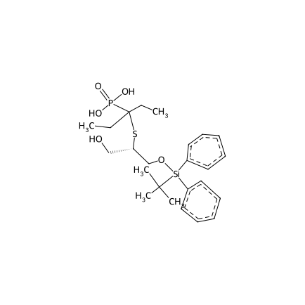 CCC(CC)(S[C@@H](CO)CO[Si](c1ccccc1)(c1ccccc1)C(C)(C)C)P(=O)(O)O